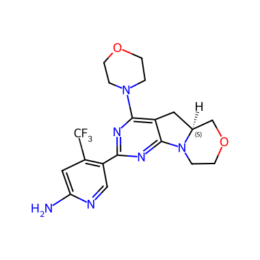 Nc1cc(C(F)(F)F)c(-c2nc(N3CCOCC3)c3c(n2)N2CCOC[C@@H]2C3)cn1